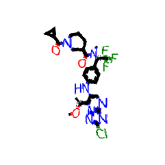 CO[C@@H](C)c1c(Nc2ccc([C@H](N(C)C(=O)C3CCCN(C(=O)C4CC4)C3)C(F)(F)F)cc2)cnc2nc(Cl)nn12